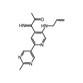 C=CCNc1cnc(-c2cnc(C)nc2)cc1C(=N)C(C)=O